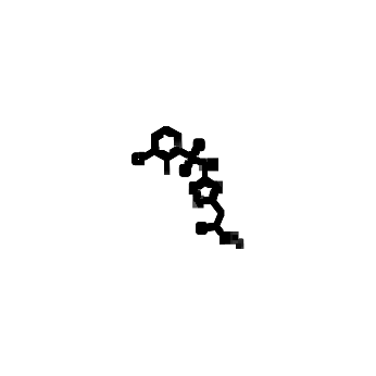 Cc1c(Cl)cccc1S(=O)(=O)Nc1nc(CC(N)=O)ns1